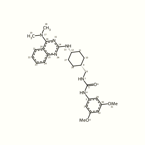 COc1cc(NC(=O)NC[C@H]2CC[C@@H](Nc3nc(N(C)C)c4ccccc4n3)CC2)cc(OC)c1